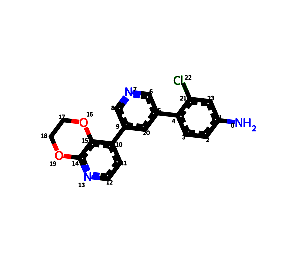 Nc1ccc(-c2cncc(-c3ccnc4c3OCCO4)c2)c(Cl)c1